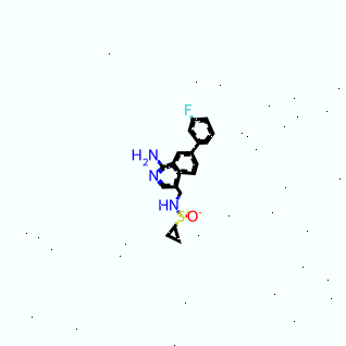 Nc1ncc(CN[S+]([O-])C2CC2)c2ccc(-c3cccc(F)c3)cc12